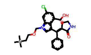 C[Si](C)(C)CCOCn1cc(C(=C2CCNC2=O)c2ccccc2)c2c(C(=O)O)cc(Cl)cc21